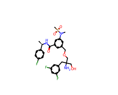 C[C@@H](NC(=O)c1cc(COCC(N)(CO)Cc2cc(F)cc(F)c2)cc(N(C)S(C)(=O)=O)c1)c1ccc(F)cc1